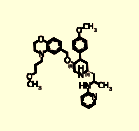 COCCCN1CCOc2ccc(CO[C@H]3CN[C@@H](CC(C)Nc4ccccn4)CC3c3ccc(OC)cc3)cc21